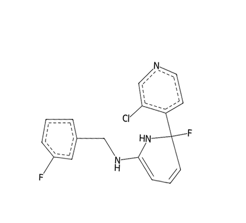 Fc1cccc(CNC2=CC=CC(F)(c3ccncc3Cl)N2)c1